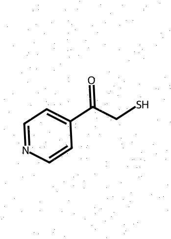 O=C(CS)c1ccncc1